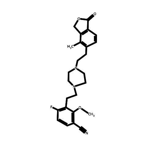 COc1c(C#N)ccc(F)c1CCN1CCN(CCc2ccc3c(c2C)COC3=O)CC1